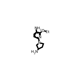 CCOc1nc(N2CCC(N)C2)ccc1N